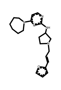 C(=Cc1ccco1)CN1CCC(Nc2nccc(N3CCCCCC3)n2)C1